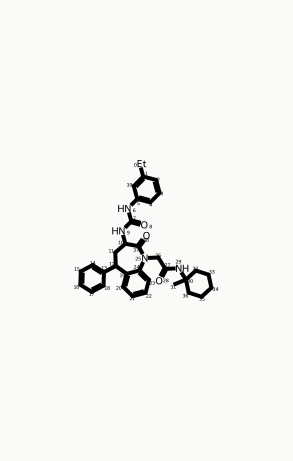 CCc1cccc(NC(=O)NC2CC(c3ccccc3)c3ccccc3N(CC(=O)NC3(C)CCCCC3)C2=O)c1